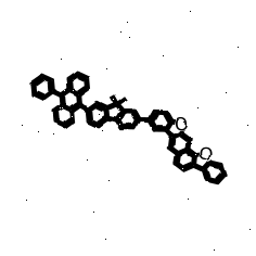 CC1(C)c2cc(-c3ccc4oc5cc6c(ccc7c8ccccc8oc67)cc5c4c3)ccc2-c2ccc(-c3c4ccccc4c(-c4ccccc4)c4ccccc34)cc21